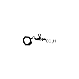 O=C(O)CNC(=O)COC1C#CCCCCC1